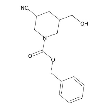 N#CC1CC(CO)CN(C(=O)OCc2ccccc2)C1